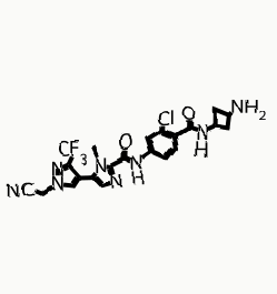 Cn1c(-c2cn(CC#N)nc2C(F)(F)F)cnc1C(=O)Nc1ccc(C(=O)NC2CC(N)C2)c(Cl)c1